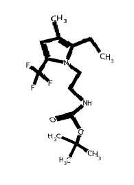 CCc1c(C)cc(C(F)(F)F)n1CCNC(=O)OC(C)(C)C